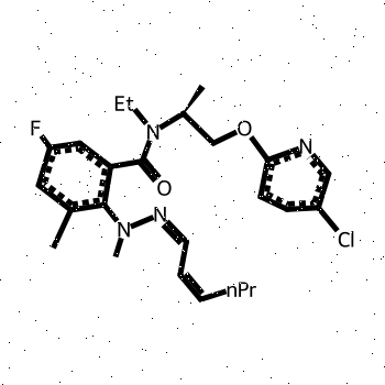 CCC/C=C\C=N/N(C)c1c(C)cc(F)cc1C(=O)N(CC)[C@@H](C)COc1ccc(Cl)cn1